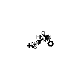 CC(C)(C)c1csc(N2CC(c3nc4c(cnn4C4CCCCC4)c(=O)[nH]3)C2)n1